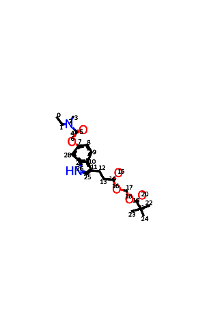 CCN(C)C(=O)Oc1ccc2c(CCC(=O)OCOC(=O)C(C)(C)C)c[nH]c2c1